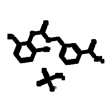 CC(C)c1cccc(C(C)C)c1OC(=O)OC[n+]1cccc(C(N)=O)c1.CS(=O)(=O)[O-]